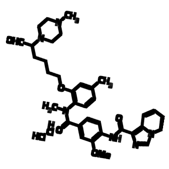 COc1cc(C(=O)N(C)c2ccc(C)cc2OCCCCC(C=O)N2CCN(C)CC2)ccc1NC(=O)c1ncn2ccccc12.Cl.Cl